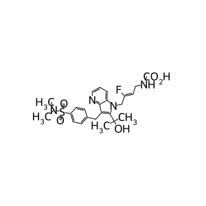 CN(C)S(=O)(=O)c1ccc(Cc2c(C(C)(C)O)n(C/C(F)=C/CNC(=O)O)c3cccnc23)cc1